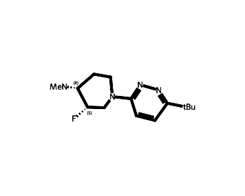 CN[C@@H]1CCN(c2ccc(C(C)(C)C)nn2)C[C@@H]1F